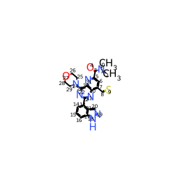 CN(C)C(=O)c1cc(C=S)c2nc(-c3cccc4[nH]ncc34)nc(N3CCOCC3)c2n1